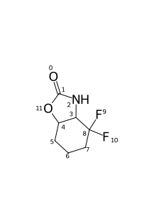 O=C1NC2C(CCCC2(F)F)O1